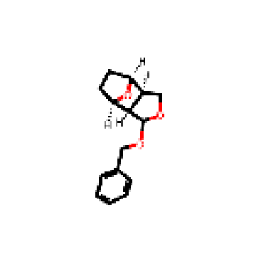 c1ccc(COC2OC[C@H]3[C@@H]2[C@H]2CC[C@@H]3O2)cc1